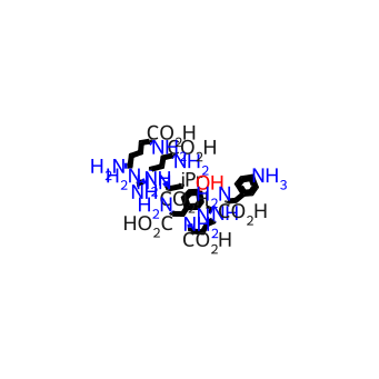 CC(C)CC(N)C(=O)O.N.N=C(N)NCCCC(N)C(=O)O.NC(Cc1c[nH]cn1)C(=O)O.NC(Cc1ccc(O)cc1)C(=O)O.NC(Cc1ccccc1)C(=O)O.NCCCCC(N)C(=O)O